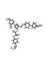 O=C(Cn1cc(-c2ccc(Cl)cc2Cl)nc1/C=C/c1ccc(-c2ccc(O)cc2)cc1)NCc1ccc(OC(F)(F)F)cc1